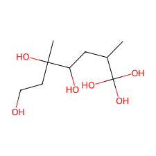 CC(CC(O)C(C)(O)CCO)C(O)(O)O